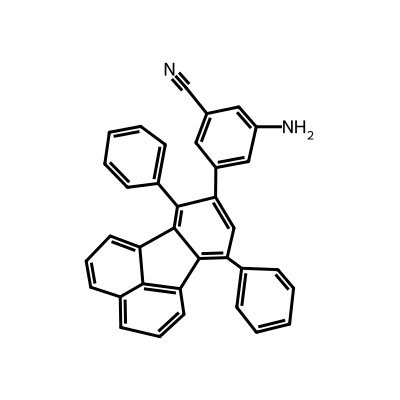 N#Cc1cc(N)cc(-c2cc(-c3ccccc3)c3c(c2-c2ccccc2)-c2cccc4cccc-3c24)c1